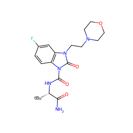 CC(C)(C)[C@H](NC(=O)n1c(=O)n(CCN2CCOCC2)c2cc(F)ccc21)C(N)=O